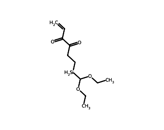 C=CC(=O)C(=O)CC[SiH2]C(OCC)OCC